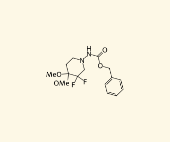 COC1(OC)CCN(NC(=O)OCc2ccccc2)CC1(F)F